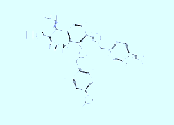 C/N=C(\C(=O)O)c1ccc(OCc2ccc(OC)cc2)c(OCc2ccc(OC)cc2)c1Cl